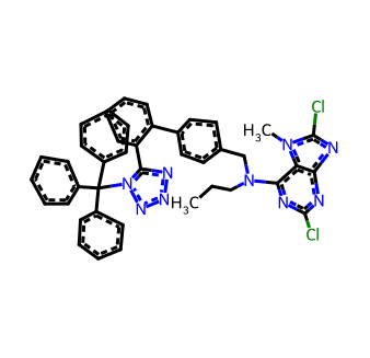 CCCN(Cc1ccc(-c2ccccc2-c2nnnn2C(c2ccccc2)(c2ccccc2)c2ccccc2)cc1)c1nc(Cl)nc2nc(Cl)n(C)c12